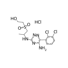 CC(CS(=O)(=O)CCO)Nc1nnc(-c2cccc(Cl)c2Cl)c(N)n1.Cl